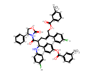 O=C(OC/C(=C\CC(C(=O)N1C(=O)OC[C@@H]1c1ccccc1)C(Nc1ccc(F)cc1)c1ccc(OC(=O)c2cccc([N+](=O)[O-])c2)cc1)c1ccc(F)cc1)c1cccc([N+](=O)[O-])c1